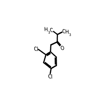 CC(C)C(=O)Cc1ccc(Cl)cc1Cl